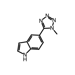 Cn1nnnc1-c1ccc2[nH]ccc2c1